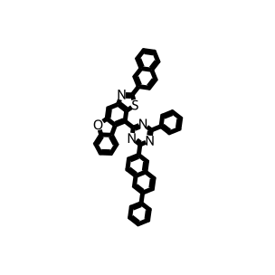 c1ccc(-c2ccc3cc(-c4nc(-c5ccccc5)nc(-c5c6sc(-c7ccc8ccccc8c7)nc6cc6oc7ccccc7c56)n4)ccc3c2)cc1